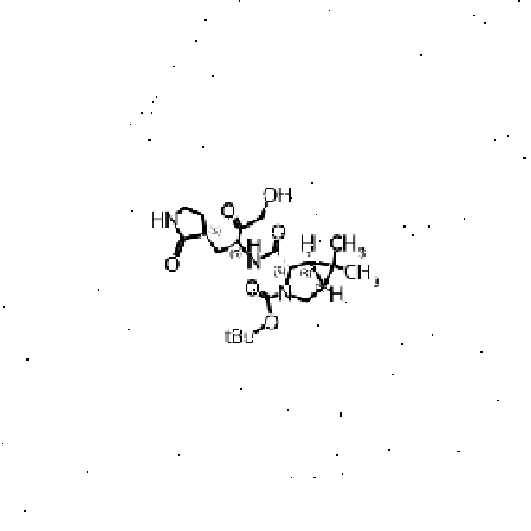 CC(C)(C)OC(=O)N1C[C@H]2[C@@H]([C@H]1C(=O)N[C@@H](C[C@@H]1CCNC1=O)C(=O)CO)C2(C)C